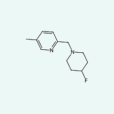 Cc1ccc(CN2CCC(F)CC2)nc1